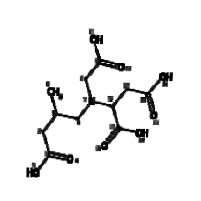 CC(CC(=O)O)CN(CC(=O)O)C(CC(=O)O)C(=O)O